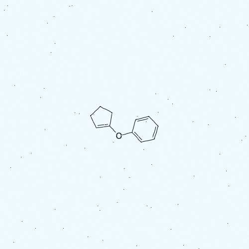 C1=C(Oc2ccccc2)CCC1